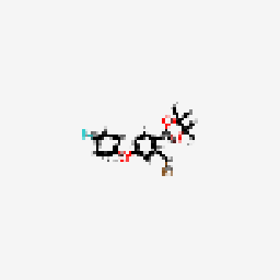 CC1(C)OB(c2ccc(Oc3ccc(F)cc3)cc2CBr)OC1(C)C